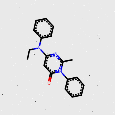 CCN(c1ccccc1)c1cc(=O)n(-c2ccccc2)c(C)n1